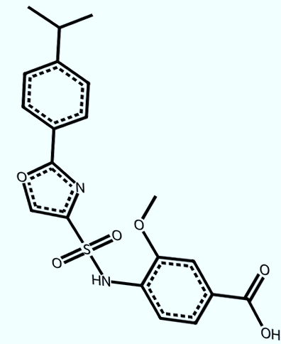 COc1cc(C(=O)O)ccc1NS(=O)(=O)c1coc(-c2ccc(C(C)C)cc2)n1